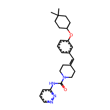 CC1(C)CCC(Oc2cccc(C=C3CCN(C(=O)Nc4cccnn4)CC3)c2)CC1